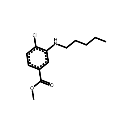 CCCCCNc1cc(C(=O)OC)ccc1Cl